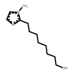 Cn1ccnc1CCCCCCCCO